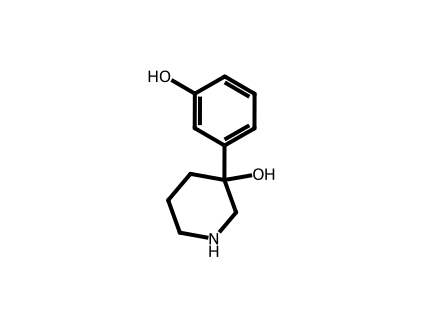 Oc1cccc(C2(O)CCCNC2)c1